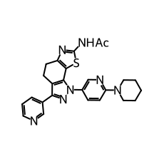 CC(=O)Nc1nc2c(s1)-c1c(c(-c3cccnc3)nn1-c1ccc(N3CCCCC3)nc1)CC2